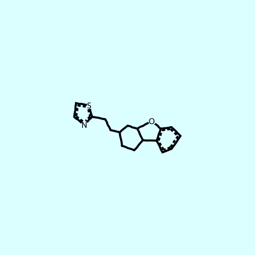 c1ccc2c(c1)OC1CC(CCc3nccs3)CCC21